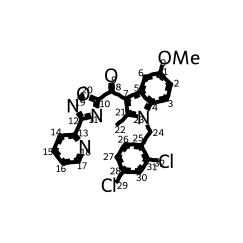 COc1ccc2c(c1)c(C(=O)c1nc(-c3ccccn3)no1)c(C)n2Cc1ccc(Cl)cc1Cl